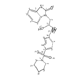 O=c1sc2ccccc2n1CC(O)Nc1ccc(S(=O)(=O)N2CCCCC2)cc1